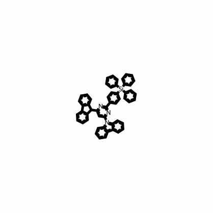 c1ccc([Si](c2ccccc2)(c2ccccc2)c2ccc(-c3nc(C4c5ccccc5-c5ccccc54)cc(-n4c5ccccc5c5ccccc54)n3)cc2)cc1